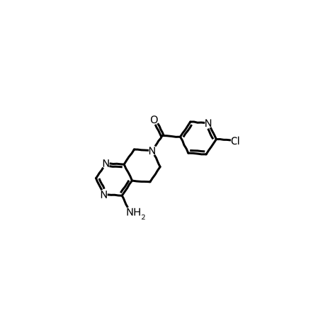 Nc1ncnc2c1CCN(C(=O)c1ccc(Cl)nc1)C2